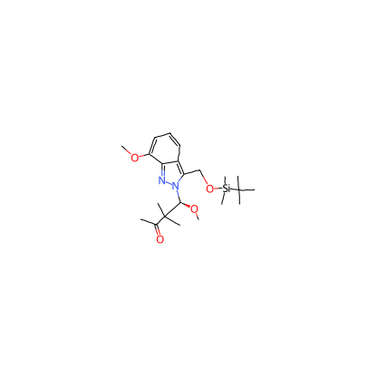 COc1cccc2c(CO[Si](C)(C)C(C)(C)C)n([C@@H](OC)C(C)(C)C(C)=O)nc12